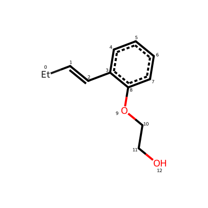 CC/C=C/c1ccccc1OCCO